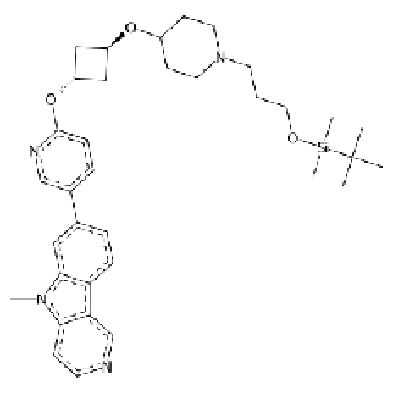 Cn1c2ccncc2c2ccc(-c3ccc(O[C@H]4C[C@H](OC5CCN(CCCO[Si](C)(C)C(C)(C)C)CC5)C4)nc3)cc21